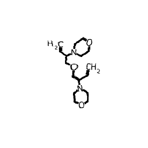 C=CC(COCC(C=C)N1CCOCC1)N1CCOCC1